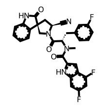 CN(C(=O)c1cc2c(F)cc(F)cc2[nH]1)[C@@H](Cc1cccc(F)c1)C(=O)N1C[C@]2(C[C@H]1C#N)C(=O)Nc1ccccc12